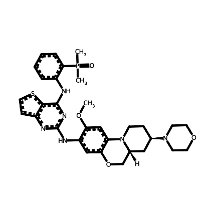 COc1cc2c(cc1Nc1nc(Nc3ccccc3P(C)(C)=O)c3sccc3n1)OC[C@H]1C[C@H](N3CCOCC3)CCN21